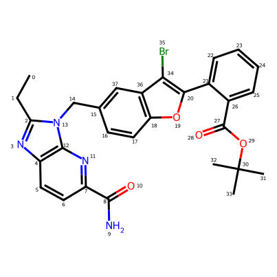 CCc1nc2ccc(C(N)=O)nc2n1Cc1ccc2oc(-c3ccccc3C(=O)OC(C)(C)C)c(Br)c2c1